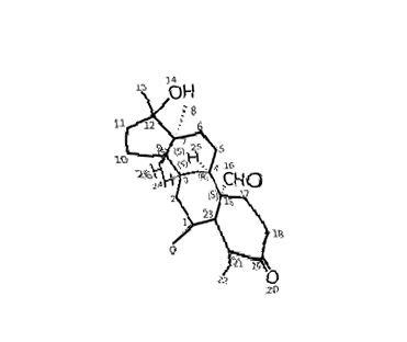 CC1C[C@@H]2[C@@H](CC[C@@]3(C)[C@H]2CCC3(C)O)[C@@]2(C=O)CCC(=O)C(C)C12